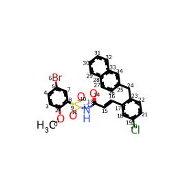 COc1ccc(Br)cc1S(=O)(=O)NC(=O)C=Cc1cc(Cl)ccc1Cc1ccc2ccccc2c1